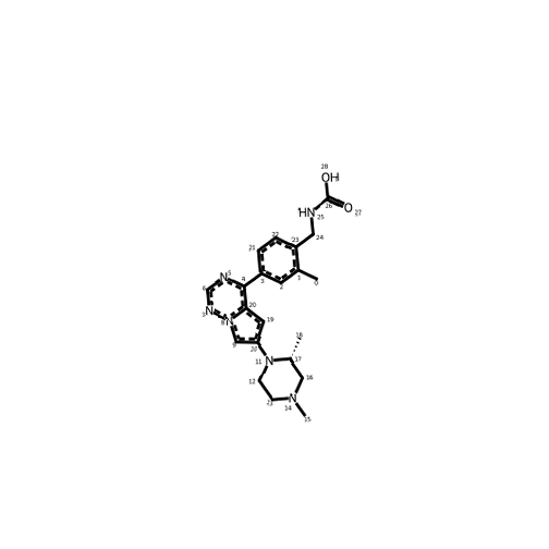 Cc1cc(-c2ncnn3cc(N4CCN(C)C[C@H]4C)cc23)ccc1CNC(=O)O